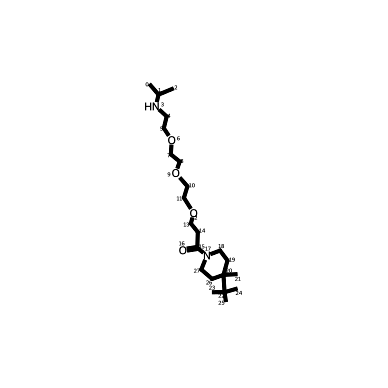 CC(C)NCCOCCOCCOCCC(=O)N1CCC(C)(C(C)(C)C)CC1